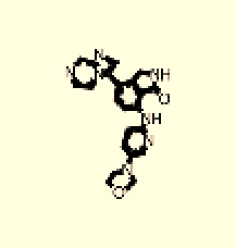 O=C1NCc2c(-c3cnc4cnccn34)ccc(Nc3ccc(N4CCOCC4)cn3)c21